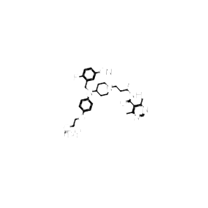 Cc1ncnc(C)c1C(=O)N[C@H](C)CCN1CCC(N(Cc2cc(C#N)ccc2F)c2ccc(OCC(=O)OC(C)(C)C)cc2)CC1